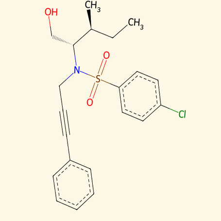 CC[C@H](C)[C@@H](CO)N(CC#Cc1ccccc1)S(=O)(=O)c1ccc(Cl)cc1